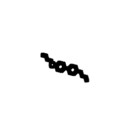 C=CCCOC1CCC(C2CCC(CCC=C)CC2)CC1